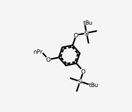 CCCOc1cc(O[Si](C)(C)C(C)(C)C)cc(O[Si](C)(C)C(C)(C)C)c1